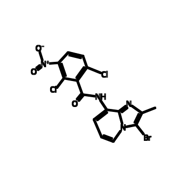 Cc1nc2c(NC(=O)c3c(Cl)ccc([N+](=O)[O-])c3Cl)cccn2c1Br